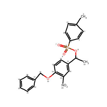 Cc1ccc(S(=O)(=O)OC(C)c2ccc(OCc3ccccc3)c([N+](=O)[O-])c2)cc1